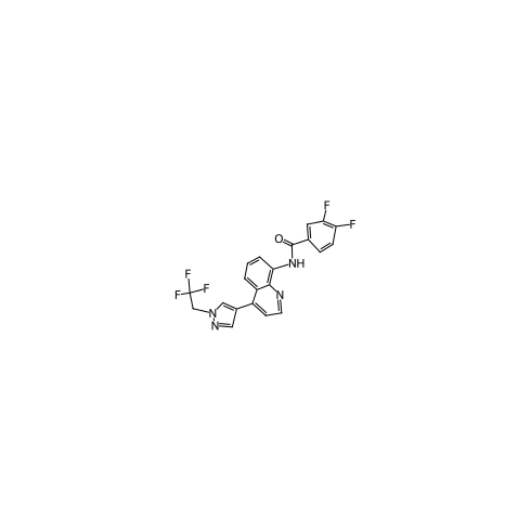 O=C(Nc1cccc2c(-c3cnn(CC(F)(F)F)c3)ccnc12)c1ccc(F)c(F)c1